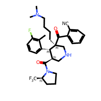 Cc1c(F)cccc1[C@H]1[C@H](C(=O)N2CCC[C@H]2C(F)(F)F)CNC[C@]1(CCCCN(C)C)C(=O)c1ccccc1C#N